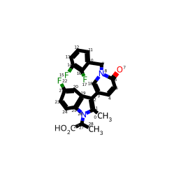 Cc1c(-c2ccc(=O)n(Cc3cccc(F)c3F)c2)c2cc(F)ccc2n1C(C)C(=O)O